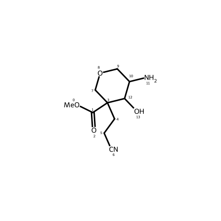 COC(=O)C1(CCC#N)COCC(N)C1O